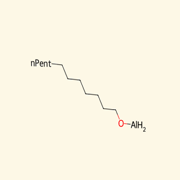 CCCCCCCCCCCC[O][AlH2]